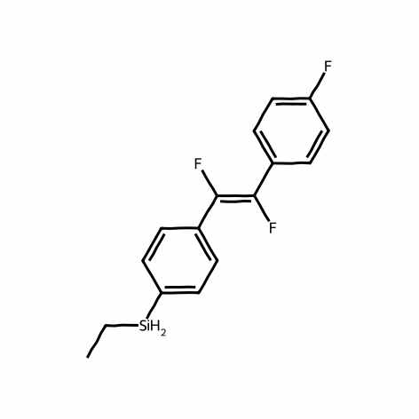 CC[SiH2]c1ccc(C(F)=C(F)c2ccc(F)cc2)cc1